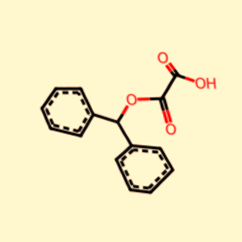 O=C(O)C(=O)OC(c1ccccc1)c1ccccc1